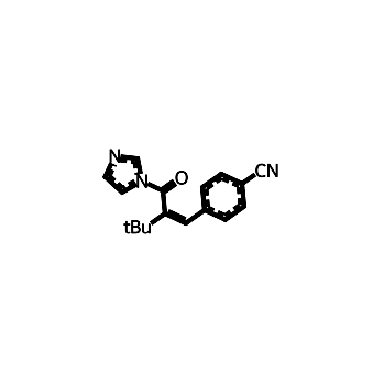 CC(C)(C)C(=Cc1ccc(C#N)cc1)C(=O)n1ccnc1